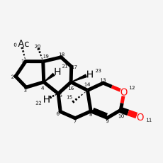 CC(=O)[C@H]1CC[C@H]2[C@@H]3CCC4=CC(=O)OC[C@]4(C)[C@H]3CC[C@]12C